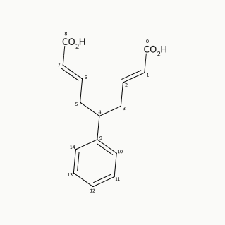 O=C(O)C=CCC(CC=CC(=O)O)c1ccccc1